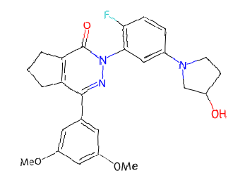 COc1cc(OC)cc(-c2nn(-c3cc(N4CCC(O)C4)ccc3F)c(=O)c3c2CCC3)c1